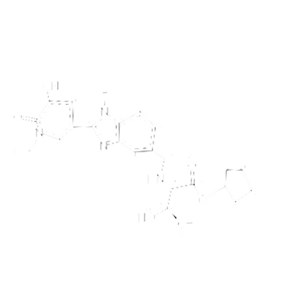 CCn1c(-c2cc(C)c(=O)n(C)c2)nc2cc(CN[C@H](C(=O)OC3CCCC3)[C@@H](C)O)ccc21